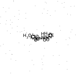 Cc1ccc(S(=O)(=O)OCCNC(=O)NC(=O)c2ccccc2)cc1